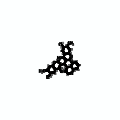 Cc1cc2oc(=O)c(C(c3c(O)c4cc(Cl)c(C)cc4oc3=O)c3ccnc4ccccc34)c(O)c2cc1Cl